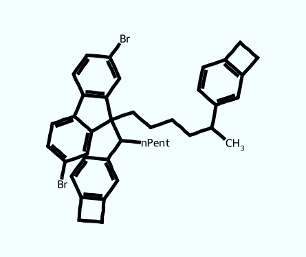 CCCCCC(c1ccc2c(c1)CC2)C1(CCCCC(C)c2ccc3c(c2)CC3)c2cc(Br)ccc2-c2ccc(Br)cc21